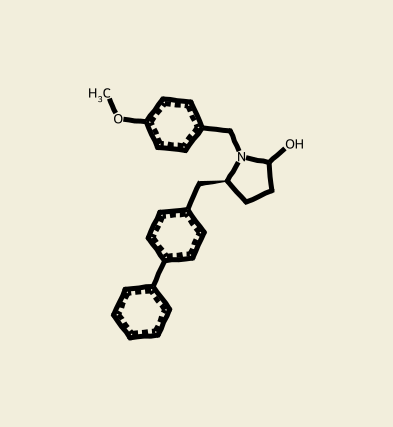 COc1ccc(CN2C(O)CC[C@H]2Cc2ccc(-c3ccccc3)cc2)cc1